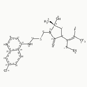 CCS/C(=C(/F)C(F)(F)F)C1C[C@@](C)(O)N(CCCNc2ccnc3cc(Cl)ccc23)C1=O